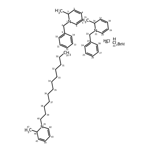 Br.CC1C=CC=CN1Cc1ccccc1.CC1C=CC=CN1Cc1ccccc1.CCCCCCCCCCCCN1C=CC=CC1C.Cl.Cl